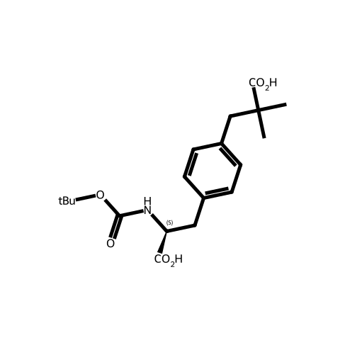 CC(C)(C)OC(=O)N[C@@H](Cc1ccc(CC(C)(C)C(=O)O)cc1)C(=O)O